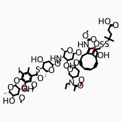 CCN(C(C)=O)[C@H]1CO[C@@H](O[C@H]2[C@H](O[C@H]3C#CC=CC#C[C@]4(O)CC(=O)C(NC(=O)OC)=C3C4=CCSSC(C)(C)CCC(=O)O)O[C@H](C)[C@@H](NO[C@H]3C[C@H](O)[C@H](SC(=O)c4c(C)c(I)c(O[C@@H]5O[C@@H](C)[C@H](O)[C@@H](OC)[C@H]5O)c(OC)c4OC)[C@@H](C)O3)[C@@H]2O)C[C@@H]1OC